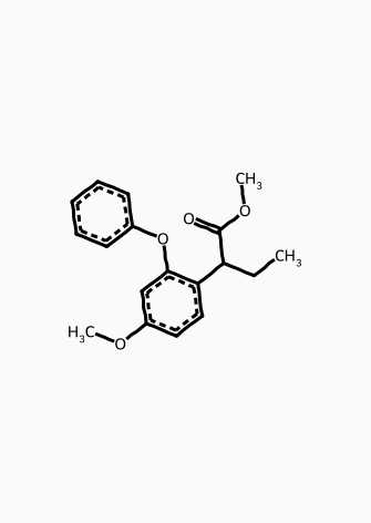 CCC(C(=O)OC)c1ccc(OC)cc1Oc1ccccc1